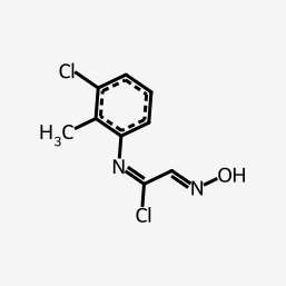 Cc1c(Cl)cccc1/N=C(Cl)\C=N\O